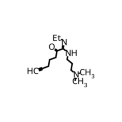 C#CCCCC(=O)/C(=N\CC)NCCCN(C)C